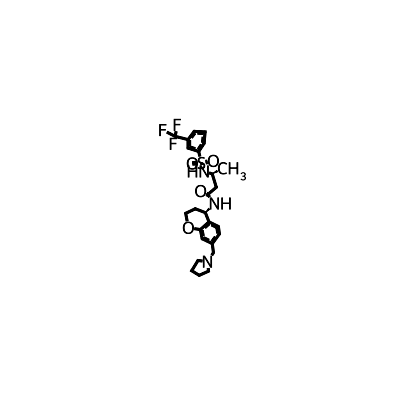 C[C@@H](CC(=O)N[C@@H]1CCOc2cc(CN3CCCC3)ccc21)NS(=O)(=O)c1cccc(C(F)(F)F)c1